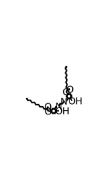 C=CCCCCCCCCC(=O)Oc1ccc(O)c(/C=N/CC/N=C/c2cc(OC(=O)CCCCCCCCC=C)ccc2O)c1